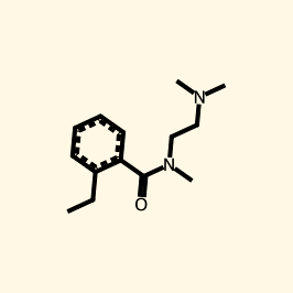 CCc1ccccc1C(=O)N(C)CCN(C)C